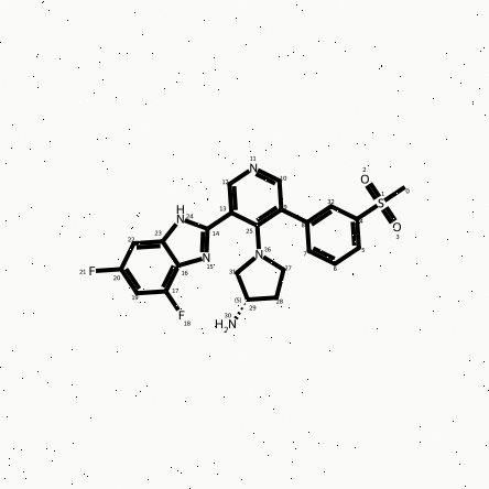 CS(=O)(=O)c1cccc(-c2cncc(-c3nc4c(F)cc(F)cc4[nH]3)c2N2CC[C@H](N)C2)c1